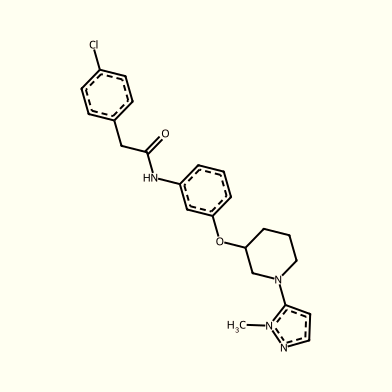 Cn1nccc1N1CCCC(Oc2cccc(NC(=O)Cc3ccc(Cl)cc3)c2)C1